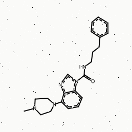 CN1CCN(c2cccc3c2ncn3C(=O)NCCCc2ccccc2)CC1